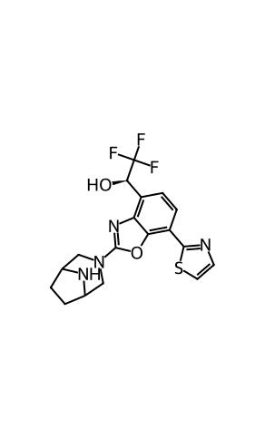 O[C@H](c1ccc(-c2nccs2)c2oc(N3CC4CCC(C3)N4)nc12)C(F)(F)F